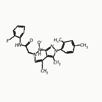 CC1=CN(CC(=O)Nc2ccccc2F)[NH+]([O-])c2nn(-c3ccc(C)cc3C)c(C)c21